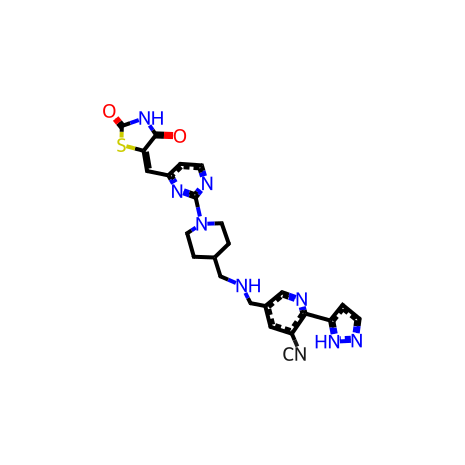 N#Cc1cc(CNCC2CCN(c3nccc(C=C4SC(=O)NC4=O)n3)CC2)cnc1-c1ccn[nH]1